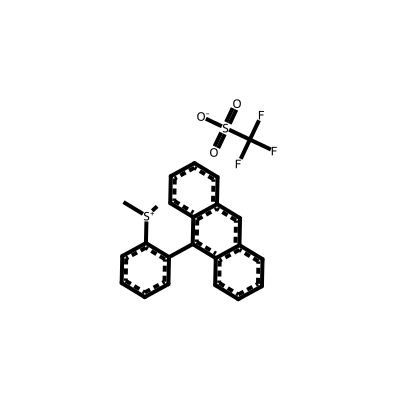 C[S+](C)c1ccccc1-c1c2ccccc2cc2ccccc12.O=S(=O)([O-])C(F)(F)F